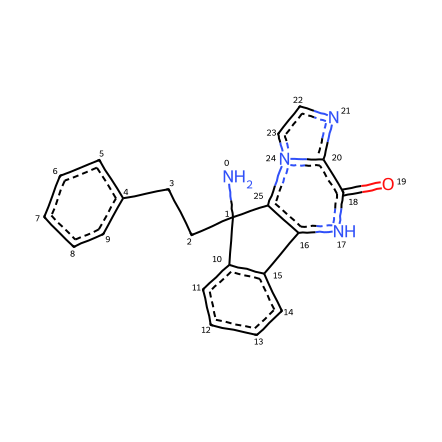 NC1(CCc2ccccc2)c2ccccc2-c2[nH]c(=O)c3nccn3c21